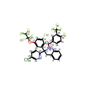 O=C(NC(Cc1ccccc1Br)(c1cc(F)cc(OC(F)(F)C(F)F)c1)c1ccc(Cl)cn1)c1ccc(F)c(C(F)(F)F)c1